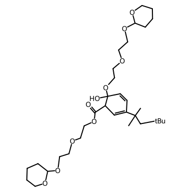 CC(C)(C)CC(C)(C)C1=CC(C(=O)OCCOCCOC2CCCCO2)C(O)(OCCOCCOC2CCCCO2)C=C1